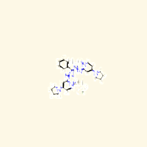 Cn1ccc(N2CCCC2)cc1=NN=C(N=Nc1cc(N2CCCC2)cc[n+]1C)c1ccccc1.[Cl-]